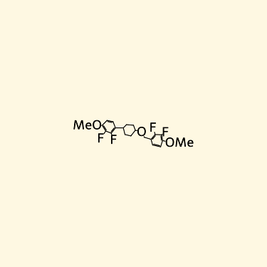 COc1ccc(COC2CCC(c3ccc(OC)c(F)c3F)CC2)c(F)c1F